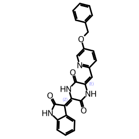 O=C1Nc2ccccc2/C1=c1/[nH]c(=O)/c(=C\c2ccc(OCc3ccccc3)cn2)[nH]c1=O